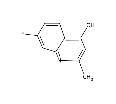 Cc1cc(O)c2ccc(F)cc2n1